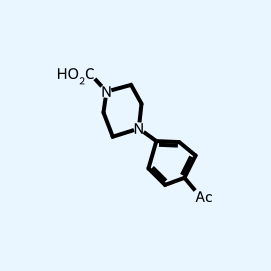 CC(=O)c1ccc(N2CCN(C(=O)O)CC2)cc1